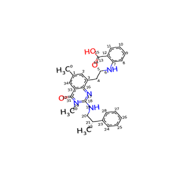 Cc1cc(CCNc2ccccc2C(=O)O)c2nc(NC[C@@H](C)c3ccccc3)n(C)c(=O)c2c1